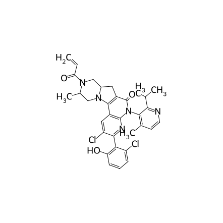 C=CC(=O)N1CC2Cc3c(c4cc(Cl)c(-c5c(O)cccc5Cl)nc4n(-c4c(C)ccnc4C(C)C)c3=O)N2CC1C